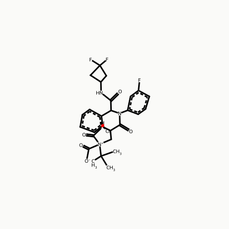 CC(C)(C)[N+]1(C(=O)[O-])CC(C(=O)N(c2cccc(F)c2)C(C(=O)NC2CC(F)(F)C2)c2ccccc2Cl)NC1=O